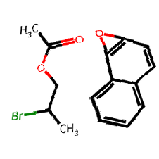 CC(=O)OCC(C)Br.c1ccc2c3c(ccc2c1)O3